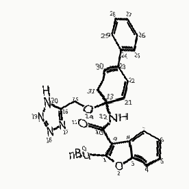 CCCCc1oc2ccccc2c1C(=O)NC1(OCc2nnn[nH]2)C=CC(c2ccccc2)=CC1